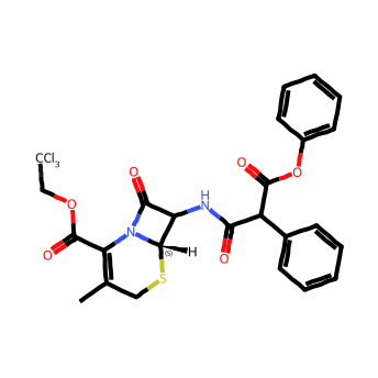 CC1=C(C(=O)OCC(Cl)(Cl)Cl)N2C(=O)C(NC(=O)C(C(=O)Oc3ccccc3)c3ccccc3)[C@@H]2SC1